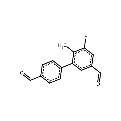 Cc1c(F)cc(C=O)cc1-c1ccc(C=O)cc1